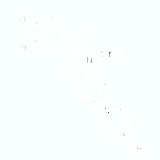 CC1CCN([C@@H]2CC[C@H](N(C)S(=O)(=O)c3ccc(Cl)c(Cl)c3)C2)CC1.Cl